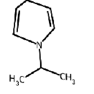 CC(C)N1C=CCC=C1